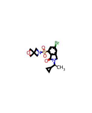 C[C@@H](C1CC1)N1Cc2cc(Br)cc(S(=O)(=O)N3CC4(COC4)C3)c2C1=O